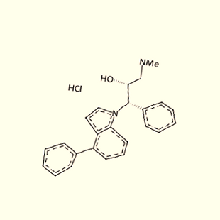 CNC[C@@H](O)[C@H](c1ccccc1)n1ccc2c(-c3ccccc3)cccc21.Cl